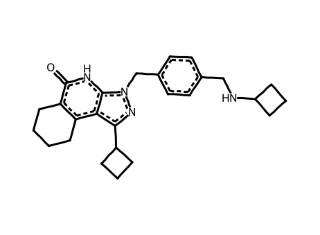 O=c1[nH]c2c(c(C3CCC3)nn2Cc2ccc(CNC3CCC3)cc2)c2c1CCCC2